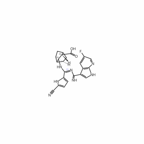 N#Cc1ccc(/C(=N\C(=N)c2c[nH]c3ncc(F)cc23)N[C@H]2C3CCC(CC3)[C@@H]2C(=O)O)[nH]1